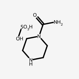 NC(=O)N1CCNCC1.O=S(=O)(O)O